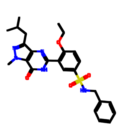 CCOc1ccc(S(=O)(=O)NCc2ccccc2)cc1-c1nc2c(CC(C)C)nn(C)c2c(=O)[nH]1